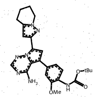 COc1cc(-c2cc(-c3cc4n(n3)CCCC4)n3ncnc(N)c23)ccc1NC(=O)OC(C)(C)C